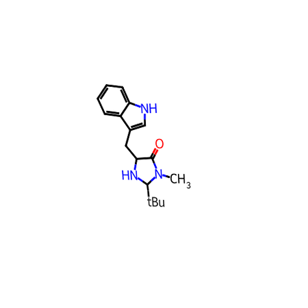 CN1C(=O)C(Cc2c[nH]c3ccccc23)NC1C(C)(C)C